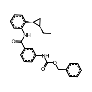 CC[C@@H]1C[C@@H]1c1ccccc1NC(=O)c1cccc(NC(=O)OCc2ccccc2)c1